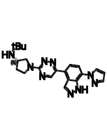 CC(C)(C)N[C@H]1CCN(c2ncc(-c3ccc(-n4cccn4)c4[nH]ncc34)nn2)C1